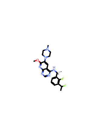 COc1nc2ncnc(N[C@H](C)c3cccc(C(C)F)c3F)c2cc1N1CCN(C)CC1